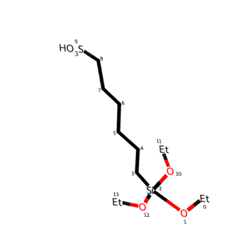 CCO[Si](CCCCCCS(=O)(=O)O)(OCC)OCC